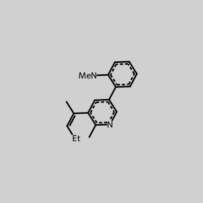 CC/C=C(/C)c1cc(-c2ccccc2NC)cnc1C